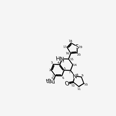 CC(C)(C)c1ccc2c(c1)C(N1CCCC1=O)CC(c1ccsc1)N2